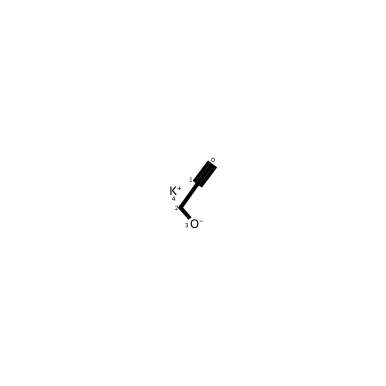 C#CC[O-].[K+]